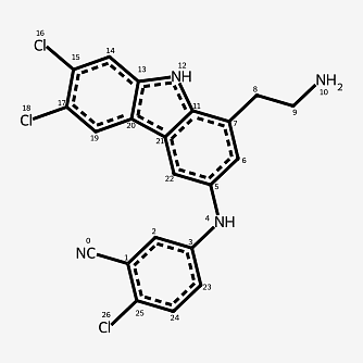 N#Cc1cc(Nc2cc(CCN)c3[nH]c4cc(Cl)c(Cl)cc4c3c2)ccc1Cl